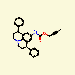 CC#CCOC(=O)Nc1cc2c3c(c1)C(c1ccccc1)CCN3CCC2c1ccccc1